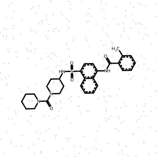 Cc1ccccc1C(=O)Nc1ccc(S(=O)(=O)NC2CCN(C(=O)N3CCCCC3)CC2)c2ccccc12